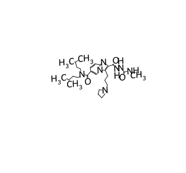 CNC(=O)NNC(=O)c1nc2ccc(C(=O)N(CCC(C)C)CCC(C)C)cn2c1CCCN1CCCC1